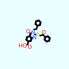 O=C(O)c1ccc2c(=O)n(CCc3ccccc3)c(SCC(=O)c3ccccc3)nc2c1